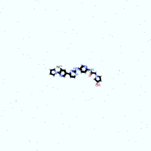 N#Cc1cc(-c2ccnc(Nc3ccc(NC(=O)CN4CC[C@H](O)C4)nc3)n2)cnc1N1CCCC1